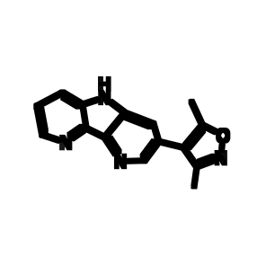 Cc1noc(C)c1-c1cnc2c(c1)[nH]c1cccnc12